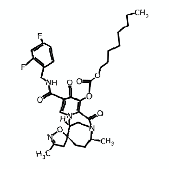 CCCCCCCCOC(=O)Oc1c2n(cc(C(=O)NCc3ccc(F)cc3F)c1=O)[C@@H]1CN(C2=O)[C@@H](C)CC[C@]12CC(C)=NO2